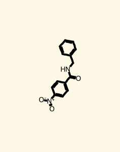 O=C(NCc1ccccc1)c1ccc([N+](=O)[O-])cc1